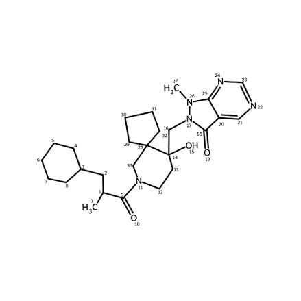 CC(CC1CCCCC1)C(=O)N1CCC(O)(Cn2c(=O)c3cncnc3n2C)C2(CCCC2)C1